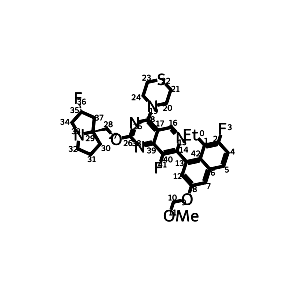 CCc1c(F)ccc2cc(OCOC)cc(-c3ncc4c(N5CCSCC5)nc(OC[C@@]56CCCN5C[C@H](F)C6)nc4c3F)c12